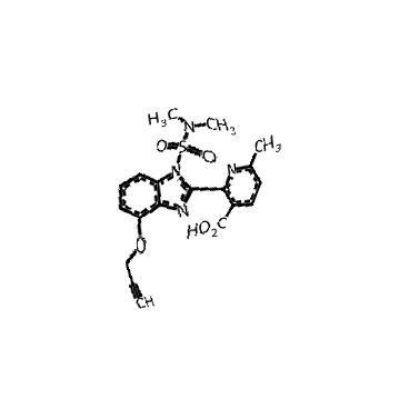 C#CCOc1cccc2c1nc(-c1nc(C)ccc1C(=O)O)n2S(=O)(=O)N(C)C